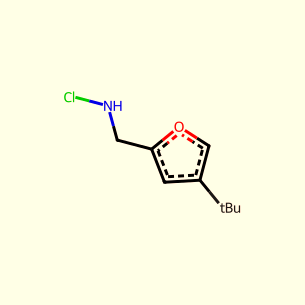 CC(C)(C)c1coc(CNCl)c1